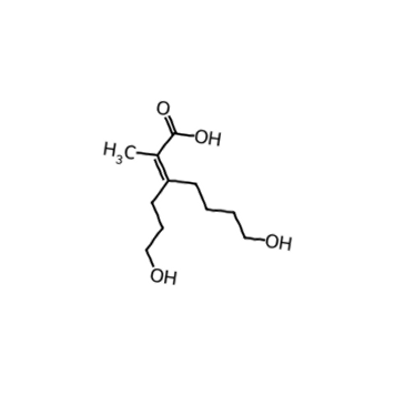 CC(C(=O)O)=C(CCCO)CCCCO